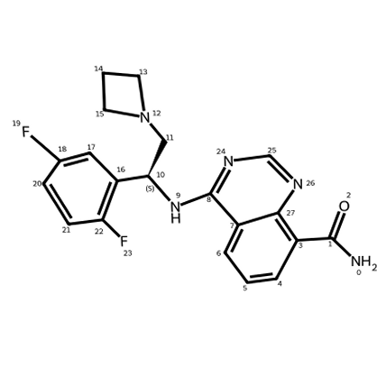 NC(=O)c1cccc2c(N[C@H](CN3CCC3)c3cc(F)ccc3F)ncnc12